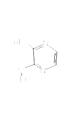 CCCCc1nccnc1OCC